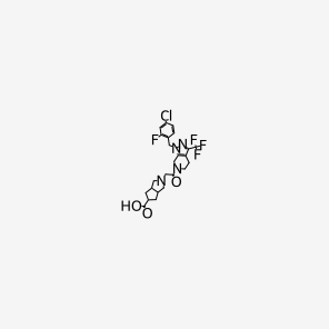 O=C(O)C1CC2CN(CC(=O)N3CCc4c(C(F)(F)F)nn(Cc5ccc(Cl)cc5F)c4C3)CC2C1